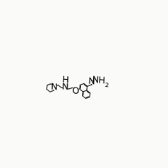 NN=Cc1ccc(OCCNCCN2CCCCC2)c2ccccc12